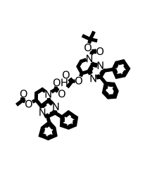 CC(=O)OC1CCN(C(=O)O)c2nc(-c3ccccc3)c(-c3ccccc3)nc21.CC(=O)OC1CCN(C(=O)OC(C)(C)C)c2nc(-c3ccccc3)c(-c3ccccc3)nc21